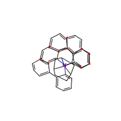 c1ccc(-c2ccccc2N(c2ccccc2-c2ccccc2)c2ccccc2-c2cccc3cccc(C45C6CCC4CC5C6)c23)cc1